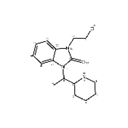 CC(C1CCCCN1)n1c(=O)n(CCCl)c2ccccc21